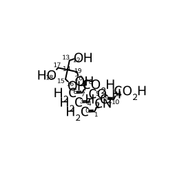 C=CC#N.C=CC(=O)O.C=CC(=O)O.C=CC(=O)O.OCC(CO)(CO)CO